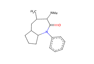 CNC1C(=O)N(c2ccccc2)C2CCCC2CC1C